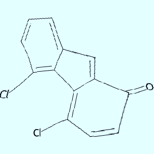 O=C1C=CC(Cl)=C2C1=Cc1cccc(Cl)c12